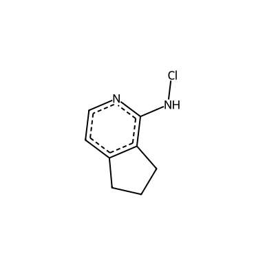 ClNc1nccc2c1CCC2